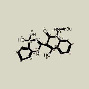 CCCCNn1c(=O)c(C2=NS(O)(O)c3ccccc3N2)c(O)c2ccccc21